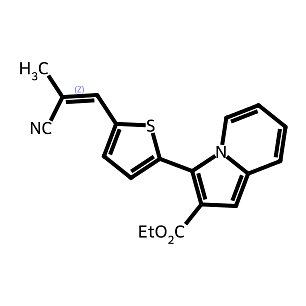 CCOC(=O)c1cc2ccccn2c1-c1ccc(/C=C(/C)C#N)s1